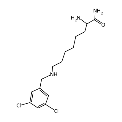 NC(=O)C(N)CCCCCCNCc1cc(Cl)cc(Cl)c1